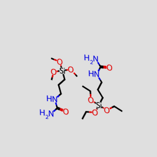 CCO[Si](CCCNC(N)=O)(OCC)OCC.CO[Si](CCCNC(N)=O)(OC)OC